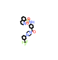 O=C(c1ccc(NS(=O)(=O)c2cccc3cccnc23)cc1)N1CCN(c2cccc(C(F)(F)F)c2)CC1